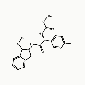 CCOC1c2ccccc2CC1NC(=O)[C@@H](NC(=O)OC(C)(C)C)c1ccc(F)cc1